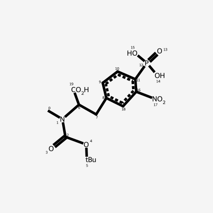 CN(C(=O)OC(C)(C)C)C(Cc1ccc(P(=O)(O)O)c([N+](=O)[O-])c1)C(=O)O